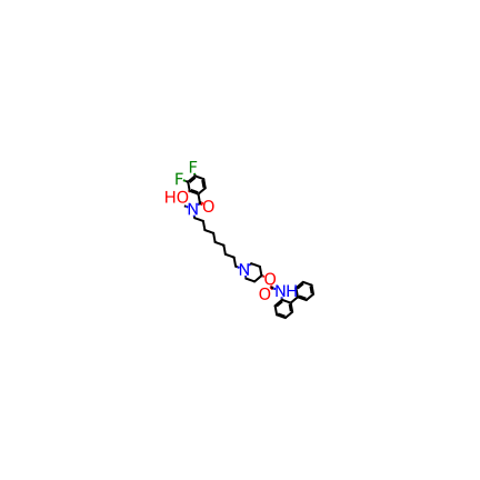 CN(CCCCCCCCCN1CCC(OC(=O)Nc2ccccc2-c2ccccc2)CC1)C(=O)c1ccc(F)c(F)c1O